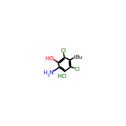 CC(C)(C)c1c(Cl)cc(N)c(O)c1Cl.Cl